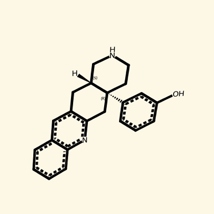 Oc1cccc([C@@]23CCNC[C@H]2Cc2cc4ccccc4nc2C3)c1